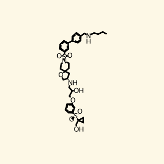 CCCCNCc1ccc(-c2cccc(S(=O)(=O)N3CCC4(CC3)C[C@H](NCC(O)COc3cccc(S(=O)(=O)C5(CO)CC5)c3)CO4)c2)cc1